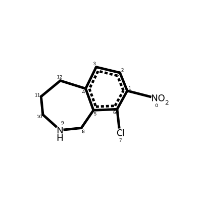 O=[N+]([O-])c1ccc2c(c1Cl)CNCCC2